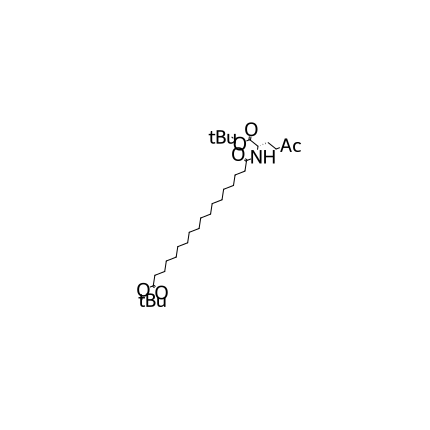 CC(=O)CC[C@H](NC(=O)CCCCCCCCCCCCCCCCC(=O)OC(C)(C)C)C(=O)OC(C)(C)C